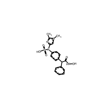 Cc1nc(N(c2ccc(C(C(=O)NO)c3ccccc3)cc2)S(=O)(=O)O)cn1C